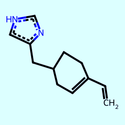 C=CC1=CCC(Cc2c[nH]cn2)CC1